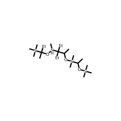 CCC(CC)(C(C)O[Si](C)(C)C(C)O[Si](C)(C)C)[SiH](C)OC(C)(CC)[Si](C)(C)C